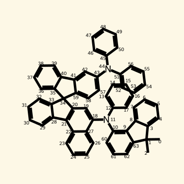 CC1(C)c2ccccc2-c2c(N(c3ccccc3)c3cc4c(c5ccccc35)-c3ccccc3C43c4ccccc4-c4cc(N(c5ccccc5)c5ccccc5)ccc43)cccc21